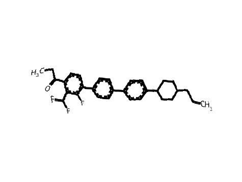 CCCC1CCC(c2ccc(-c3ccc(-c4ccc(C(=O)CC)c(C(F)F)c4F)cc3)cc2)CC1